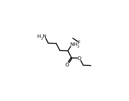 CCOC(=O)C(N)CCCN.CF